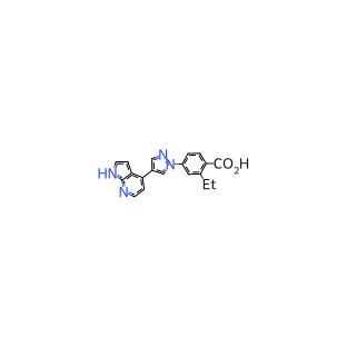 CCc1cc(-n2cc(-c3ccnc4[nH]ccc34)cn2)ccc1C(=O)O